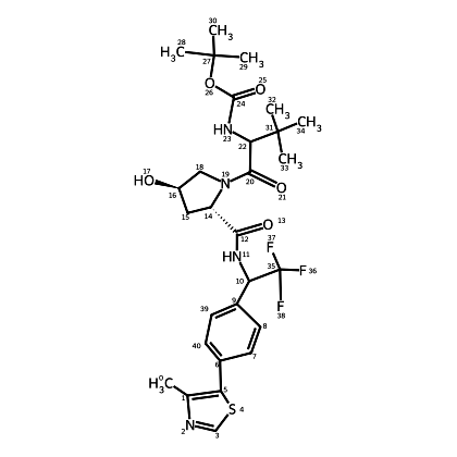 Cc1ncsc1-c1ccc(C(NC(=O)[C@@H]2C[C@@H](O)CN2C(=O)C(NC(=O)OC(C)(C)C)C(C)(C)C)C(F)(F)F)cc1